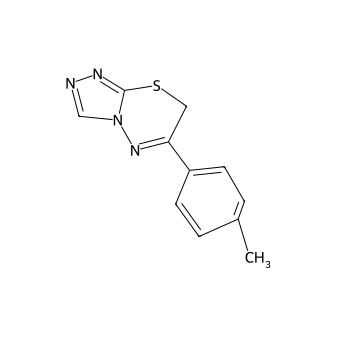 Cc1ccc(C2=Nn3cnnc3SC2)cc1